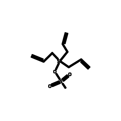 C=CC[Si](CC=C)(CC=C)OS(C)(=O)=O